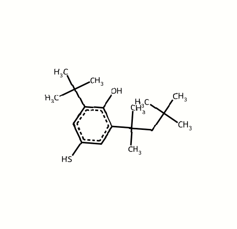 CC(C)(C)CC(C)(C)c1cc(S)cc(C(C)(C)C)c1O